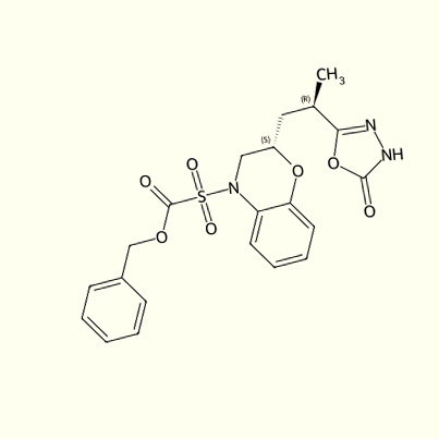 C[C@H](C[C@H]1CN(S(=O)(=O)C(=O)OCc2ccccc2)c2ccccc2O1)c1n[nH]c(=O)o1